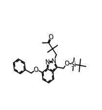 CC(=O)C(C)(C)Cn1nc2c(OCc3ccccc3)cccc2c1CO[Si](C)(C)C(C)(C)C